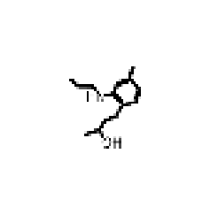 CCCNc1cc(C)ccc1CCC(C)O